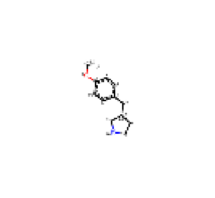 COc1ccc(C[C@H]2CC[N]C2)cc1